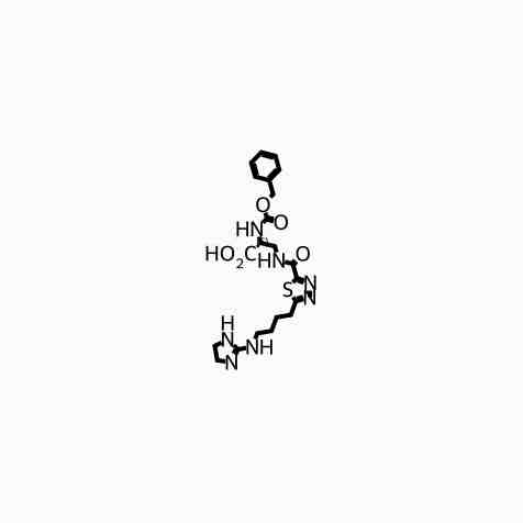 O=C(N[C@@H](CNC(=O)c1nnc(CCCCNC2=NCCN2)s1)C(=O)O)OCc1ccccc1